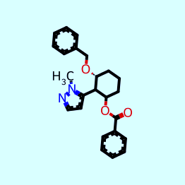 Cn1nccc1C1C(OC(=O)c2ccccc2)CCC[C@H]1OCc1ccccc1